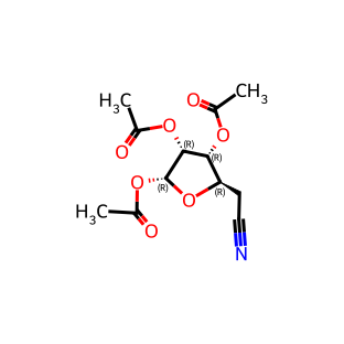 CC(=O)O[C@H]1O[C@H](CC#N)[C@@H](OC(C)=O)[C@H]1OC(C)=O